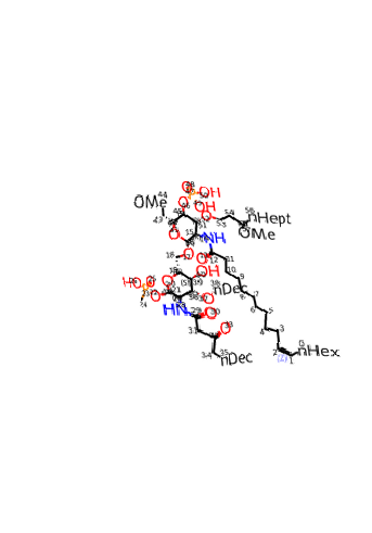 CCCCCC/C=C\CCCCCCCCCC(=O)N[C@H]1[C@H](OC[C@H]2O[C@H](OP(C)(=O)O)[C@H](NC(=O)CC(=O)CCCCCCCCCCC)[C@@H](OCCCCCCCCCC)[C@@H]2O)O[C@H](COC)[C@@H](OP(=O)(O)O)[C@@H]1OCC[C@@H](CCCCCCC)OC